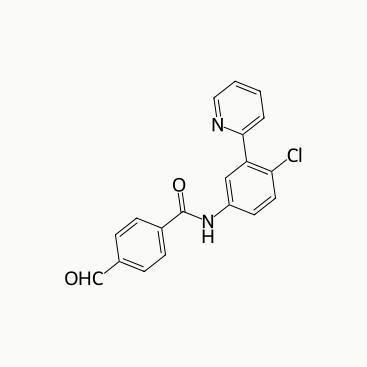 O=Cc1ccc(C(=O)Nc2ccc(Cl)c(-c3ccccn3)c2)cc1